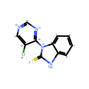 S=c1[nH]c2ccccc2n1-c1ncncc1Cl